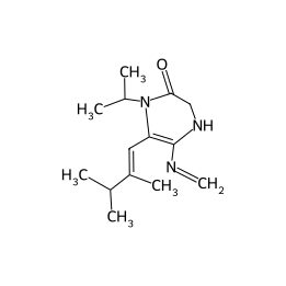 C=NC1=C(/C=C(\C)C(C)C)N(C(C)C)C(=O)CN1